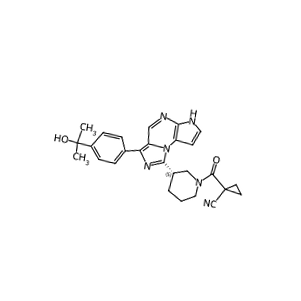 CC(C)(O)c1ccc(-c2nc([C@H]3CCCN(C(=O)C4(C#N)CC4)C3)n3c2cnc2[nH]ccc23)cc1